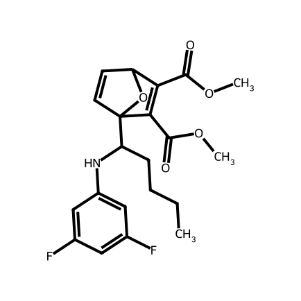 CCCCC(Nc1cc(F)cc(F)c1)C12C=CC(O1)C(C(=O)OC)=C2C(=O)OC